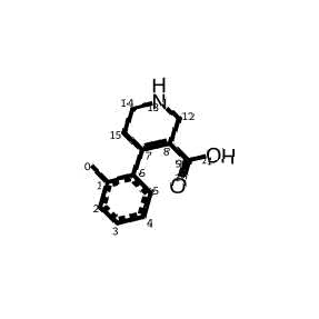 Cc1ccccc1C1=C(C(=O)O)CNCC1